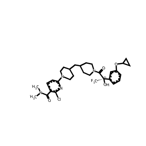 CN(C)C(=O)c1ccc(N2CCC(CC3CCN(C(=O)[C@](O)(c4cccc(OC5CC5)c4)C(F)(F)F)CC3)CC2)nc1Cl